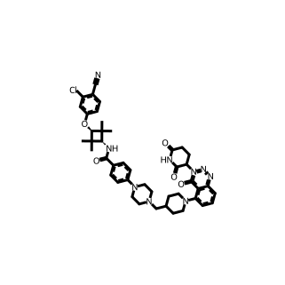 CC1(C)[C@H](NC(=O)c2ccc(N3CCN(CC4CCN(c5cccc6nnn(C7CCC(=O)NC7=O)c(=O)c56)CC4)CC3)cc2)C(C)(C)[C@H]1Oc1ccc(C#N)c(Cl)c1